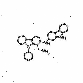 NCc1c(Nc2ccc3c(c2)[nH]c2ccccc23)ccc2c3ccccc3n(-c3ccccc3)c12